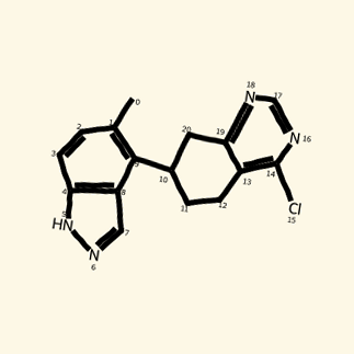 Cc1ccc2[nH]ncc2c1C1CCc2c(Cl)ncnc2C1